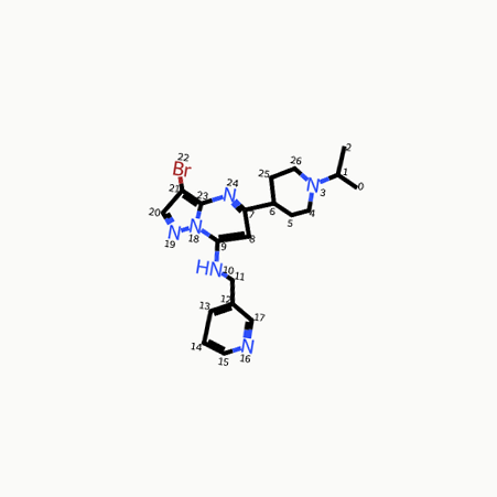 CC(C)N1CCC(c2cc(NCc3cccnc3)n3ncc(Br)c3n2)CC1